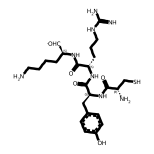 N=C(N)NCCC[C@H](NC(=O)[C@H](Cc1ccc(O)cc1)NC(=O)[C@@H](N)CS)C(=O)N[C@H]([C]=O)CCCCN